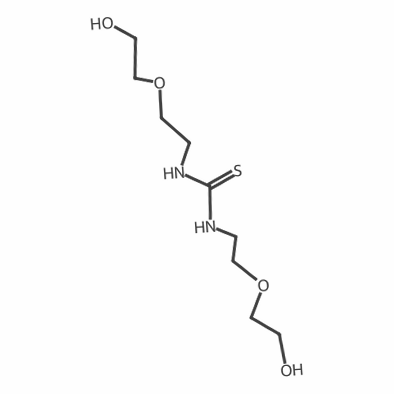 OCCOCCNC(=S)NCCOCCO